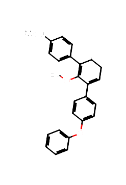 CCOC1=C(c2ccc(OC)cc2)[CH]CC=C1c1ccc(Oc2ccccc2)cc1